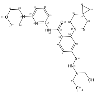 CCC(CO)NSc1ccc(C(=O)Nc2cccc(N3CCOCC3)n2)c(N2CCC3(CC2)CC3)c1